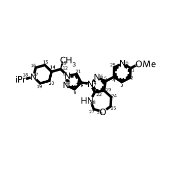 COc1ccc(-c2nn(-c3cnn([C@H](C)C4CCN(C(C)C)CC4)c3)c3c2CCOCN3)cn1